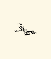 COC[C@H]1CN(C(=O)OC(C)(C)C)[C@H](C)CN1CC(=O)N1CC(C)(C)c2cnc(Cc3ccc(Cl)cc3)cc21